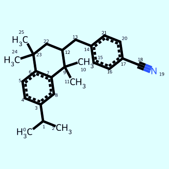 CC(C)c1ccc2c(c1)C(C)(C)C(Cc1ccc(C#N)cc1)CC2(C)C